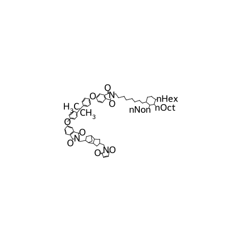 CCCCCCCCCC1C(CCCCCCCCN2C(=O)c3ccc(Oc4ccc(C(C)(C)c5ccc(Oc6ccc7c(c6)C(=O)N(CC6CC8CC6C6CC(CN9C(=O)C=CC9=O)CC86)C7=O)cc5)cc4)cc3C2=O)CCC(CCCCCC)C1CCCCCCCC